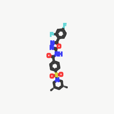 C[C@@H]1C[C@H](C)CN(S(=O)(=O)c2ccc(C(=O)Nc3nnc(-c4ccc(F)cc4F)o3)cc2)C1